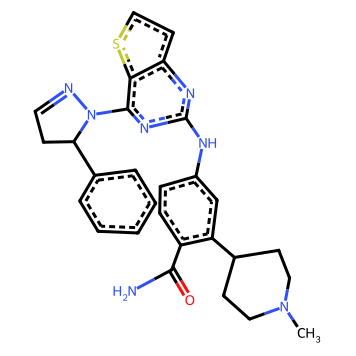 CN1CCC(c2cc(Nc3nc(N4N=CCC4c4ccccc4)c4sccc4n3)ccc2C(N)=O)CC1